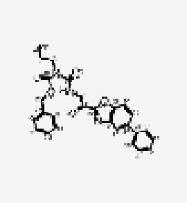 CC(C)CCN(C(=O)NCC(=O)c1nc2cc(-c3ccccc3)ccc2o1)C(=O)OCc1ccccc1